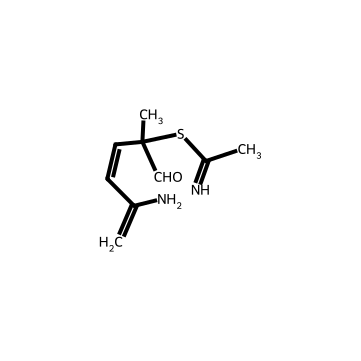 C=C(N)/C=C\C(C)(C=O)SC(C)=N